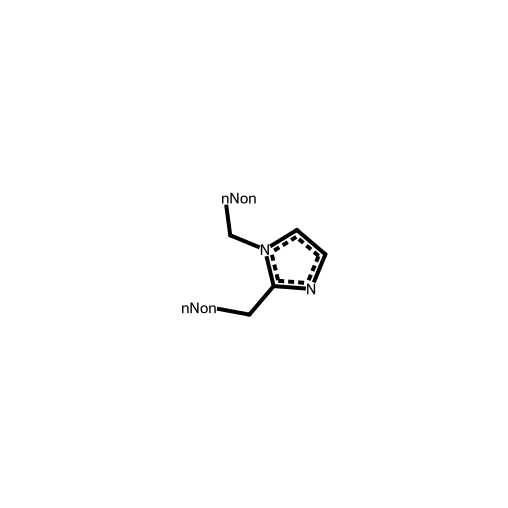 CCCCCCCCCCc1nccn1CCCCCCCCCC